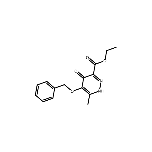 CCOC(=O)c1n[nH]c(C)c(OCc2ccccc2)c1=O